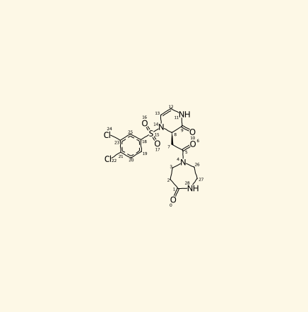 O=C1CCN(C(=O)C[C@@H]2C(=O)NC=CN2S(=O)(=O)c2ccc(Cl)c(Cl)c2)CCN1